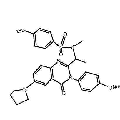 COc1ccc(-n2c(C(C)N(C)S(=O)(=O)c3ccc(C(C)(C)C)cc3)nc3ccc(N4CCCC4)cc3c2=O)cc1